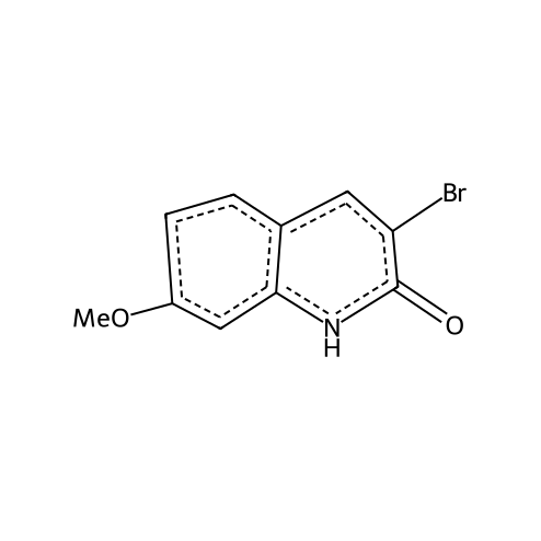 COc1ccc2cc(Br)c(=O)[nH]c2c1